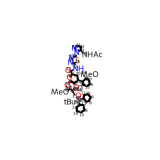 COCC(CO[Si](c1ccccc1)(c1ccccc1)C(C)(C)C)Oc1c(-c2c(OC)cccc2OC)cc(C(=O)Nc2nnc(-n3nccc3NC(C)=O)s2)oc1=O